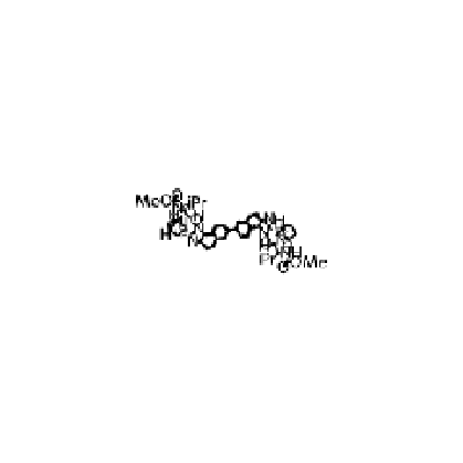 COC(=O)NC(C(=O)N1[C@@H]2CC[C@@H](C2)[C@H]1c1nc2ccc3cc(-c4ccc5c(ccc6nc([C@@H]7C[C@H]8C[C@H]8N7C(=O)[C@@H](NC(=O)OC)C(C)C)[nH]c65)c4)ccc3c2[nH]1)C(C)C